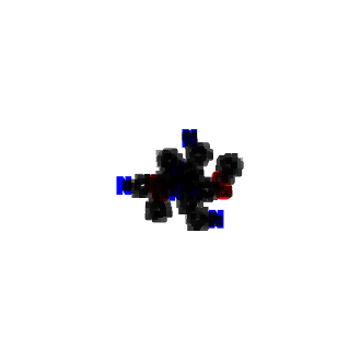 N#Cc1ccc(-c2ccc(-c3nc(-c4ccc(-c5cccc(C#N)c5)cc4-n4c5ccccc5c5cc(C(=O)OCc6ccccc6)ccc54)nc(-c4ccc(-c5cccc(C#N)c5)cc4-n4c5ccccc5c5cc(C(=O)OCc6ccccc6)ccc54)n3)cc2)cc1